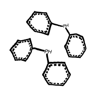 c1ccc(Pc2ccccc2)cc1.c1ccc(Pc2ccccc2)cc1